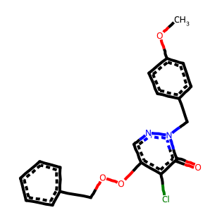 COc1ccc(Cn2ncc(OOCc3ccccc3)c(Cl)c2=O)cc1